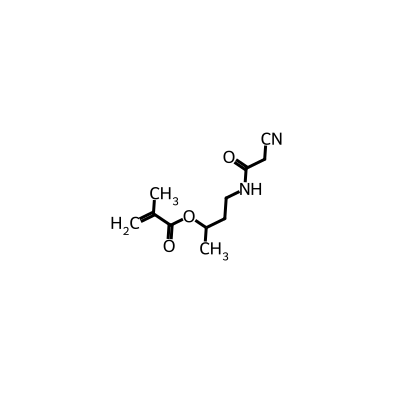 C=C(C)C(=O)OC(C)CCNC(=O)CC#N